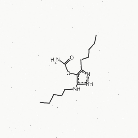 CCCCCNc1[nH]nc(CCCCC)c1OC(N)=O